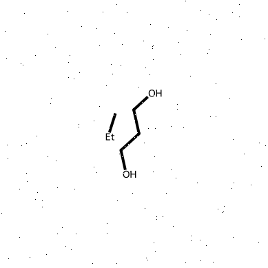 CCC.OCCCO